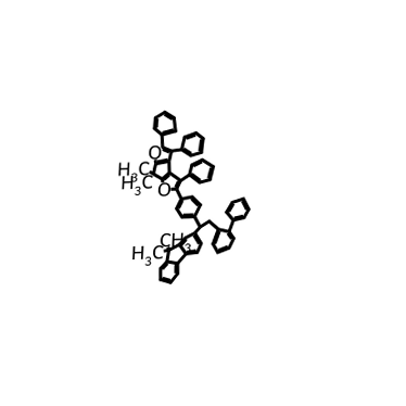 CC1(C)c2ccccc2-c2ccc(C(Cc3ccccc3-c3ccccc3)c3ccc(-c4oc5c(c4-c4ccccc4)-c4c(oc(-c6ccccc6)c4-c4ccccc4)C5(C)C)cc3)cc21